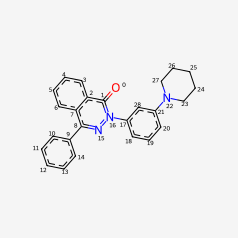 O=c1c2ccccc2c(-c2ccccc2)nn1-c1cccc(N2CCCCC2)c1